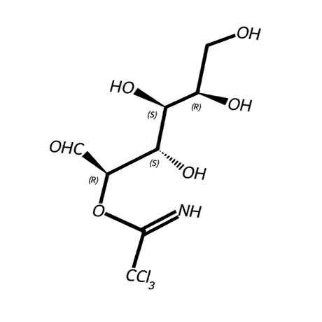 N=C(O[C@@H](C=O)[C@@H](O)[C@@H](O)[C@H](O)CO)C(Cl)(Cl)Cl